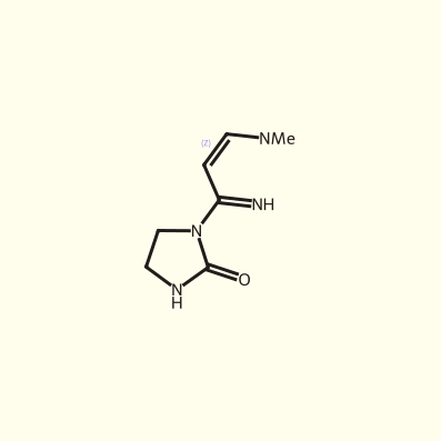 CN/C=C\C(=N)N1CCNC1=O